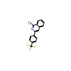 FC(F)(F)c1ccc(-c2cc3ccccc3c(Cl)n2)cc1